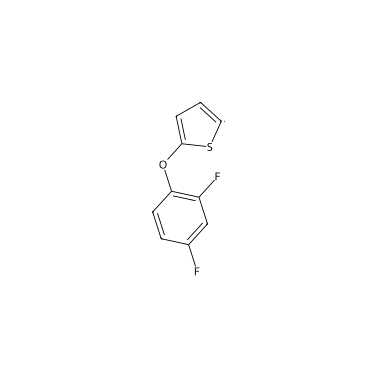 Fc1ccc(Oc2cc[c]s2)c(F)c1